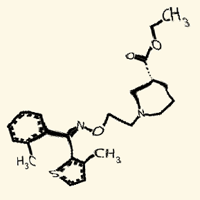 CCOC(=O)[C@@H]1CCCN(CCO/N=C(/c2ccccc2C)c2sccc2C)C1